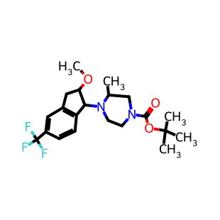 COC1Cc2cc(C(F)(F)F)ccc2C1N1CCN(C(=O)OC(C)(C)C)CC1C